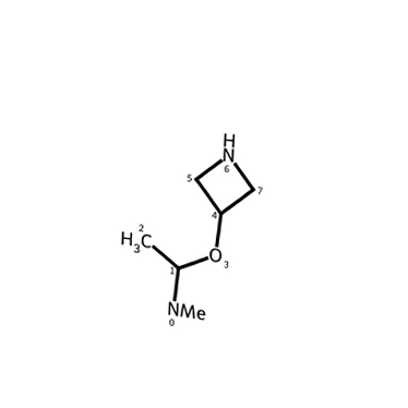 CNC(C)OC1CNC1